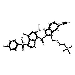 CSc1cc(C)c2c(ccn2S(=O)(=O)c2ccc(C)cc2)c1C(=O)c1nc2ccc(C#N)cc2n1COCC[Si](C)(C)C